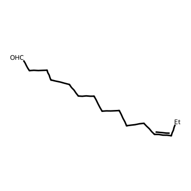 CC/C=C\CCCCCCCCCCC=O